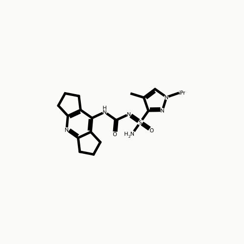 Cc1cn(C(C)C)nc1S(N)(=O)=NC(=O)Nc1c2c(nc3c1CCC3)CCC2